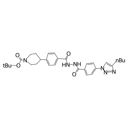 CCCCc1cn(-c2ccc(C(=O)NNC(=O)c3ccc(C4CCN(C(=O)OC(C)(C)C)CC4)cc3)cc2)nn1